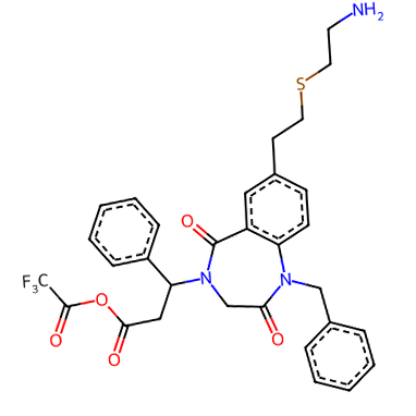 NCCSCCc1ccc2c(c1)C(=O)N(C(CC(=O)OC(=O)C(F)(F)F)c1ccccc1)CC(=O)N2Cc1ccccc1